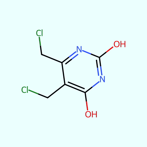 Oc1nc(O)c(CCl)c(CCl)n1